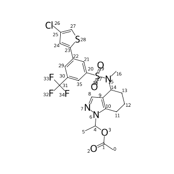 CC(=O)OC(C)n1ncc2c1CCCC2N(C)S(=O)(=O)c1cc(-c2cc(Cl)cs2)cc(C(F)(F)F)c1